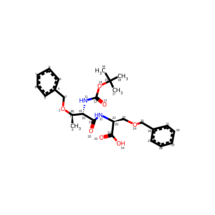 C[C@@H](OCc1ccccc1)[C@H](NC(=O)OC(C)(C)C)C(=O)N[C@@H](COCc1ccccc1)C(=O)O